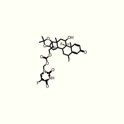 CC1(C)OC2CC3C4CC(F)C5=CC(=O)C=CC5(C)[C@@]4(F)C(O)CC3(C)C2(C(=O)COC(=O)OCn2cc(F)c(=O)[nH]c2=O)O1